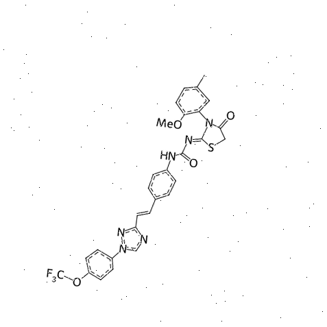 COc1ccc(C)cc1N1C(=O)CS/C1=N\C(=O)Nc1ccc(/C=C/c2ncn(-c3ccc(OC(F)(F)F)cc3)n2)cc1